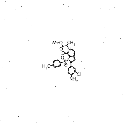 COC(=O)C(C)n1ccc2cc(-c3ccc(N)c(Cl)c3)n(S(=O)(=O)c3ccc(C)cc3)c2c1=O